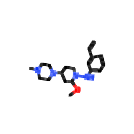 C=Cc1cccc(NN2CCC(N3CCN(C)CC3)CC2OC)c1